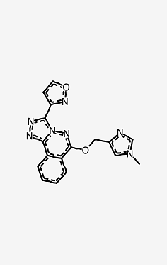 Cn1cnc(COc2nn3c(-c4ccon4)nnc3c3ccccc23)c1